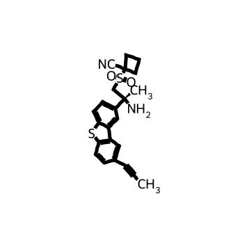 CC#Cc1ccc2sc3ccc([C@@](C)(N)CS(=O)(=O)C4(C#N)CCC4)cc3c2c1